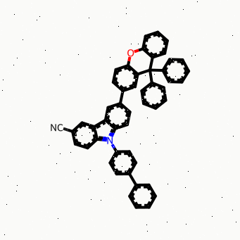 N#Cc1ccc2c(c1)c1cc(-c3ccc4c(c3)C(c3ccccc3)(c3ccccc3)c3ccccc3O4)ccc1n2-c1ccc(-c2ccccc2)cc1